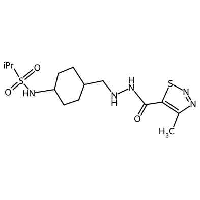 Cc1nnsc1C(=O)NNCC1CCC(NS(=O)(=O)C(C)C)CC1